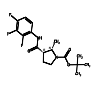 C[C@H]1[C@@H](C(=O)Nc2ccc(F)c(F)c2F)CCN1C(=O)OC(C)(C)C